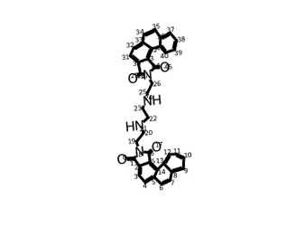 O=C1c2ccc3ccc4ccccc4c3c2C(=O)N1CCNCCNCCN1C(=O)c2ccc3ccc4ccccc4c3c2C1=O